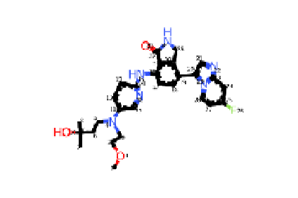 COCCN(CCC(C)(C)O)c1ccc(Nc2ccc(-c3cnc4cc(F)ccn34)c3c2C(=O)NC3)nc1